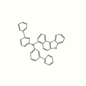 c1ccc(-c2cccc(N(c3cccc(-c4ccccc4)c3)c3cccc4c3ccc3oc5ccccc5c34)c2)cc1